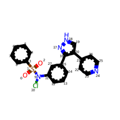 O=S(=O)(c1ccccc1)N(Cl)c1cccc(-c2n[nH]cc2-c2ccncc2)c1